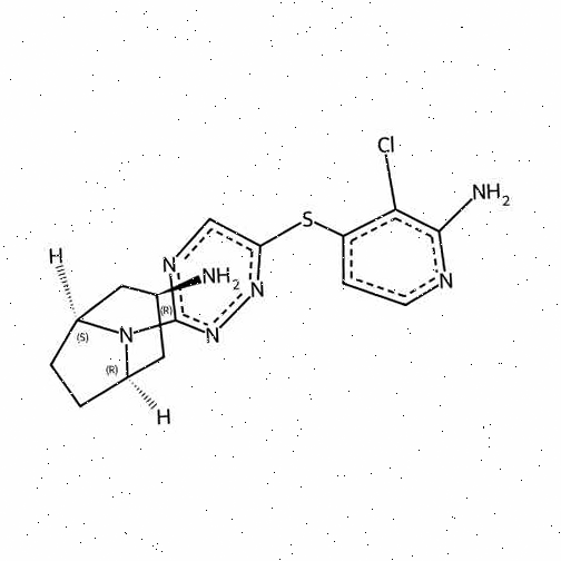 Nc1nccc(Sc2cnc(N3[C@@H]4CC[C@H]3C[C@@H](N)C4)nn2)c1Cl